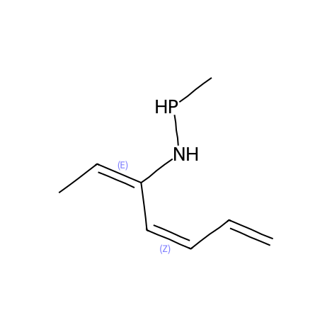 C=C/C=C\C(=C/C)NPC